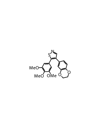 COc1cc(-c2sncc2-c2ccc3c(c2)OCCO3)cc(OC)c1OC